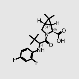 CC(C)(C)[C@H](Nc1ccc(F)cc1F)C(=O)N1C[C@H]2[C@@H]([C@H]1C(=O)O)C2(C)C